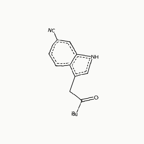 CCC(C)C(=O)Cc1c[nH]c2cc(C#N)ccc12